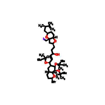 C=C(C)[C@H](C)C[C@H]1CC[C@@H]2O[C@@H](CCC(O)/C=C/[C@H](O[Si](C)(C)C(C)(C)C)[C@@H]3C[C@H]4CC[C@H](CCC)O[C@@H]4[C@H](O[Si](C)(C)C(C)(C)C)[C@@H]3O[Si](C)(C)C(C)(C)C)C[C@]2(CI)O1